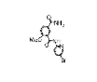 COc1ccc(C(N)=O)cc1C(=O)Nc1ccc(Br)cn1